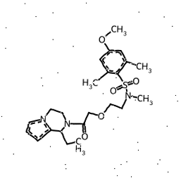 CCC1c2cccn2CCN1C(=O)COCCN(C)S(=O)(=O)c1c(C)cc(OC)cc1C